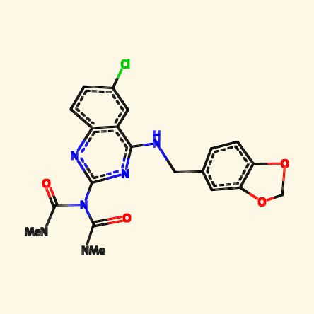 CNC(=O)N(C(=O)NC)c1nc(NCc2ccc3c(c2)OCO3)c2cc(Cl)ccc2n1